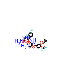 C[C@H](NC(=O)C(NC(=O)c1nc(-c2ccc(OC(F)F)c(OCC3CC3)c2)oc1[C@H](C)N)c1ccc(F)cc1F)C(N)=O